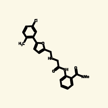 CNC(=O)c1ccccc1NC(=O)CNCc1ccc(-c2cc(Cl)ccc2C)o1